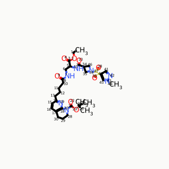 CCOC(=O)C(CNC(=O)CCCCc1ccc2c(n1)N(C(=O)OC(C)(C)C)CCC2)NC(=O)C1CN(S(=O)(=O)c2cnn(C)c2)C1